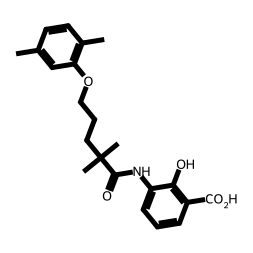 Cc1ccc(C)c(OCCCC(C)(C)C(=O)Nc2cccc(C(=O)O)c2O)c1